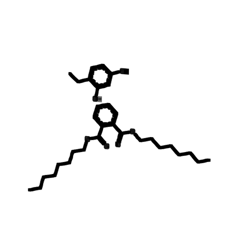 CCCCCCCCOC(=O)c1ccccc1C(=O)OCCCCCCCC.CCc1ccc(O)cc1O